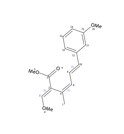 CO\C=C(C(=O)OC)/C(C)=C\C=C\c1cccc(OC)c1